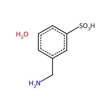 NCc1cccc(S(=O)(=O)O)c1.O